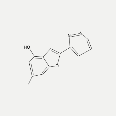 Cc1cc(O)c2cc(-c3cccnn3)oc2c1